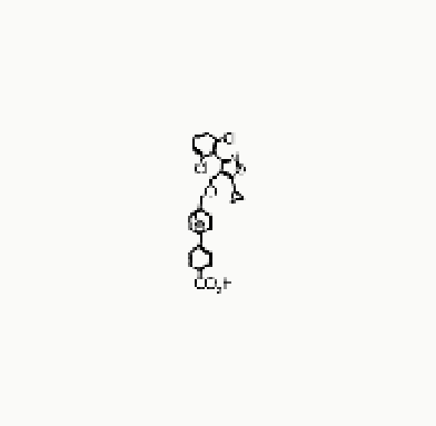 O=C(O)c1ccc(C23CCC(COCc4c(-c5c(Cl)cccc5Cl)noc4C4CC4)(CC2)CO3)cc1